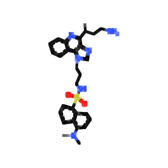 CC(CCN)c1nc2ccccc2c2c1ncn2CCCNS(=O)(=O)c1cccc2c(N(C)C)cccc12